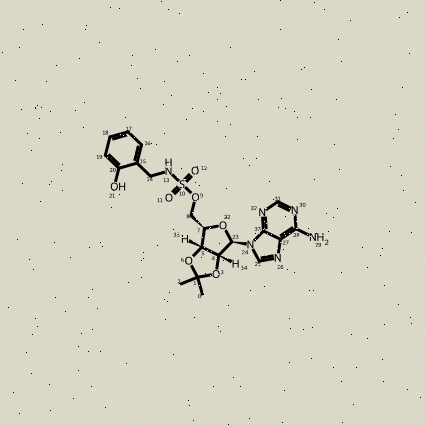 CC1(C)O[C@@H]2[C@H](O1)[C@@H](COS(=O)(=O)NCc1ccccc1O)O[C@H]2n1cnc2c(N)ncnc21